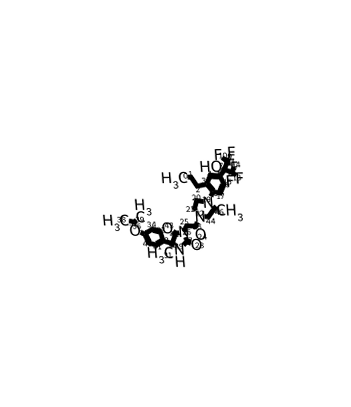 CCCc1cc(C(O)(C(F)(F)F)C(F)(F)F)ccc1N1CCN(C(=O)CN2C(=O)NC(C)(c3ccc(OC(C)C)cc3)C2=O)C[C@@H]1C